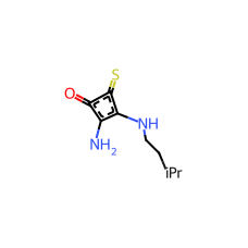 CC(C)CCNc1c(N)c(=O)c1=S